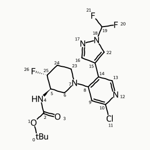 CC(C)(C)OC(=O)N[C@@H]1CN(c2cc(Cl)ncc2-c2cnn(C(F)F)c2)CC[C@H]1F